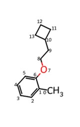 Cc1ccccc1OCCC1CCC1